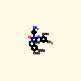 COc1cc2c(cc1OC)-c1c/c(=N\c3c(OC)cc(C)cc3OC)n(C3CC(N)C3)c(=O)n1CC2